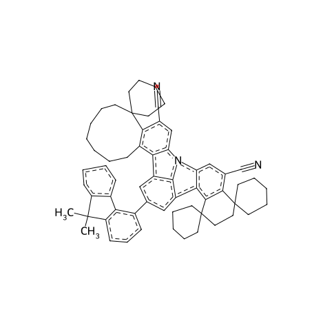 CC1(C)c2ccccc2-c2c(-c3cc4c5c6c(c(C#N)cc5n5c7cc(C#N)c8c(c7c(c3)c45)C3(CCCCC3)CCC83CCCCC3)C3(CCCCCCC6)CCCCC3)cccc21